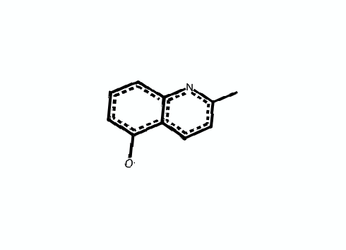 Cc1ccc2c([O])cccc2n1